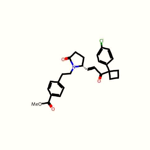 COC(=O)c1ccc(CCN2C(=O)CC[C@@H]2C=CC(=O)C2(c3ccc(Cl)cc3)CCC2)cc1